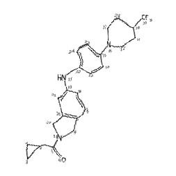 O=C(C1CC1)N1Cc2ccc(Nc3ccc(N4CCC(C(F)(F)F)CC4)cc3)cc2C1